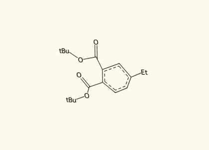 CCc1ccc(C(=O)OC(C)(C)C)c(C(=O)OC(C)(C)C)c1